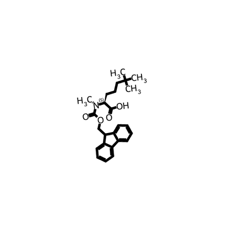 CN(C(=O)OCC1c2ccccc2-c2ccccc21)[C@@H](CCCC(C)(C)C)C(=O)O